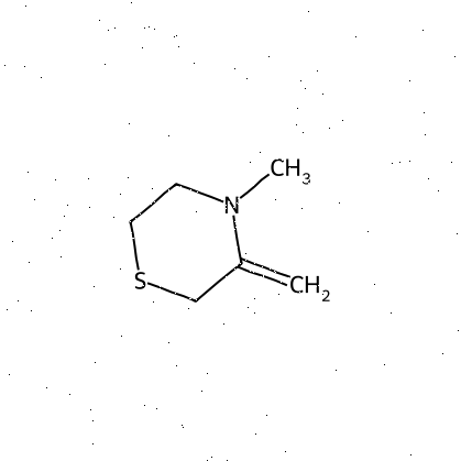 C=C1CSCCN1C